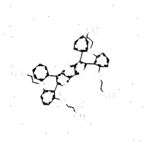 CCCOc1cccc(OCCC)c1-c1sc2c(sc3c(-c4ccccc4)c(-c4c(OCCC)cccc4OCCC)sc32)c1-c1ccccc1